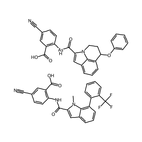 Cn1c(C(=O)Nc2ccc(C#N)cc2C(=O)O)cc2cccc(-c3ccccc3C(F)(F)F)c21.N#Cc1ccc([AsH]C(=O)c2cc3cccc4c3n2CCC4Oc2ccccc2)c(C(=O)O)c1